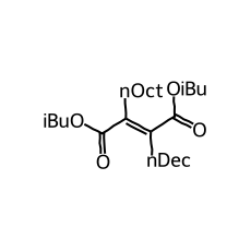 CCCCCCCCCCC(C(=O)OCC(C)C)=C(CCCCCCCC)C(=O)OCC(C)C